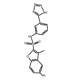 Cc1c(S(=O)(=O)Nc2cccc(-c3nnn[nH]3)c2)oc2ccc(C(C)C)cc12